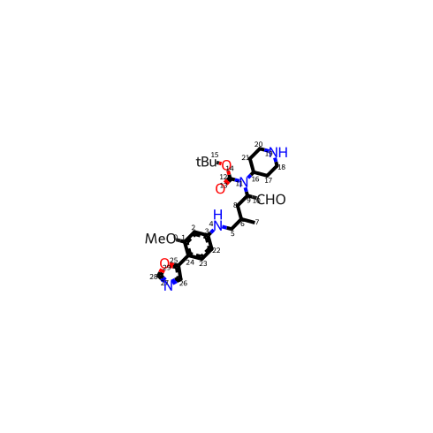 COc1cc(NCC(C)CC(C=O)N(C(=O)OC(C)(C)C)C2CCNCC2)ccc1-c1cnco1